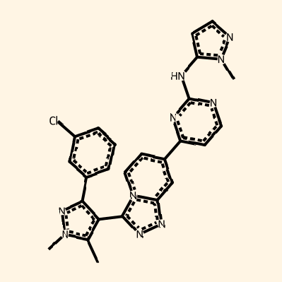 Cc1c(-c2nnc3cc(-c4ccnc(Nc5ccnn5C)n4)ccn23)c(-c2cccc(Cl)c2)nn1C